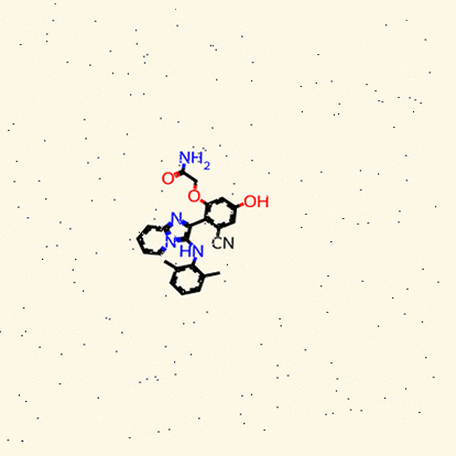 Cc1cccc(C)c1Nc1c(-c2c(C#N)cc(O)cc2OCC(N)=O)nc2ccccn12